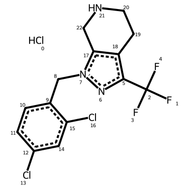 Cl.FC(F)(F)c1nn(Cc2ccc(Cl)cc2Cl)c2c1CCNC2